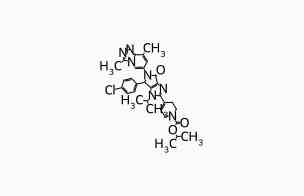 Cc1cc(N2C(=O)c3nc(C4=CCN(C(=O)OC(C)C)CC4)n(C(C)C)c3C2c2ccc(Cl)cc2)cn2c(C)nnc12